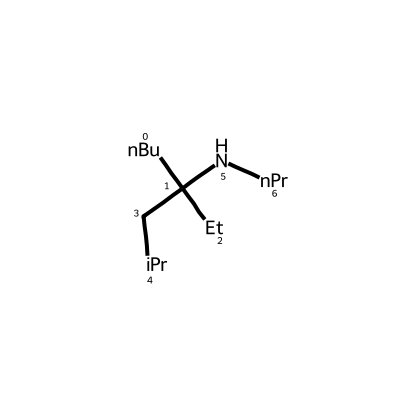 CCCCC(CC)(CC(C)C)NCCC